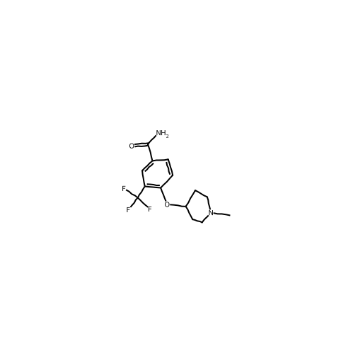 CN1CCC(Oc2ccc(C(N)=O)cc2C(F)(F)F)CC1